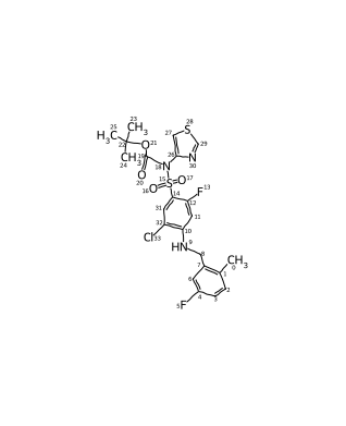 Cc1ccc(F)cc1CNc1cc(F)c(S(=O)(=O)N(C(=O)OC(C)(C)C)c2cscn2)cc1Cl